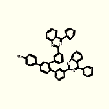 N#Cc1ccc(-c2ccc(-c3cccc(-c4nc(-c5ccccc5)c5ccccc5n4)c3)c(-c3cccc(-c4nc(-c5ccccc5)c5ccccc5n4)c3)c2)cc1